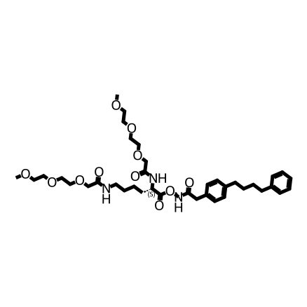 COCCOCCOCC(=O)NCCCC[C@H](NC(=O)COCCOCCOC)C(=O)ONC(=O)Cc1ccc(CCCCc2ccccc2)cc1